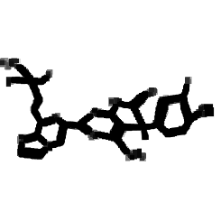 C[C@]1(c2ccc(O)c(F)c2)C(=O)Nc2nc(-c3cn4ccnc4c(CCC(F)(F)C(F)(F)F)n3)nc(N)c21